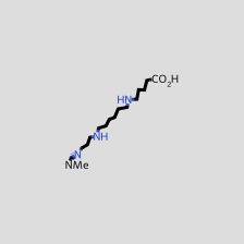 CN/C=N/CCCNCCCCCCNCCCCC(=O)O